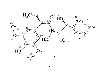 CC[C@@H](C(=O)N(C)[C@@H](C)[C@@H](O)c1ccccc1)c1cc(OC)c(C)c(OC)c1